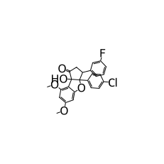 COc1cc(OC)c2c(c1)OC1(c3ccc(Cl)cc3)C(c3cccc(F)c3)CC(=O)C21O